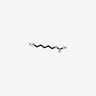 NCCCCCOBO